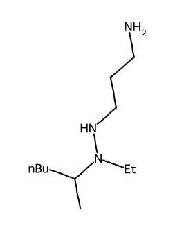 [CH2]CCCC(C)N(CC)NCCCN